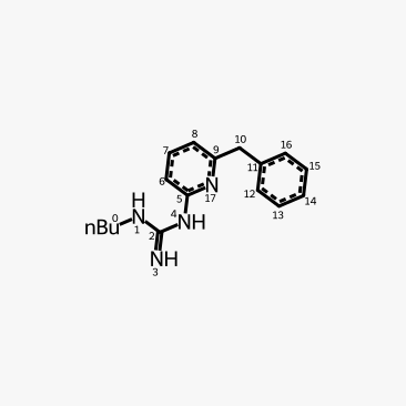 CCCCNC(=N)Nc1cccc(Cc2ccccc2)n1